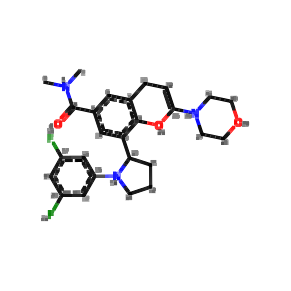 CN(C)C(=O)c1cc2c(c(C3CCCN3c3cc(F)cc(F)c3)c1)OC(N1CCOCC1)=CC2